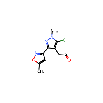 Cc1cc(-c2nn(C)c(Cl)c2CC=O)no1